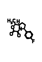 C[C@@H]1OC(=O)C(=O)N2[C@@H]1CC[C@H]2c1ccc(F)cc1